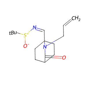 C=CCN1C(=O)C2CCC1(/C=N\[S+]([O-])C(C)(C)C)CC2